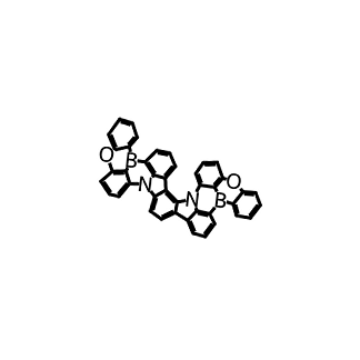 c1ccc2c(c1)Oc1cccc3c1B2c1cccc2c4c(ccc5c6cccc7c6n(c54)-c4cccc5c4B7c4ccccc4O5)n-3c12